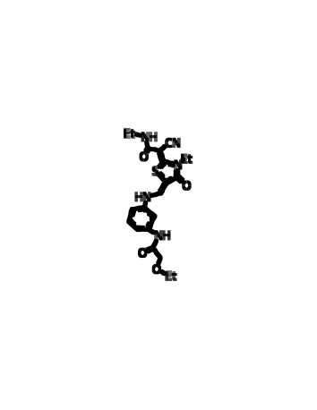 CCNC(=O)C(C#N)=c1sc(=CNc2cccc(NC(=O)COCC)c2)c(=O)n1CC